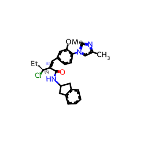 CC[C@H](Cl)/C(=C/c1ccc(-n2cnc(C)c2)c(OC)c1)C(=O)NC1Cc2ccccc2C1